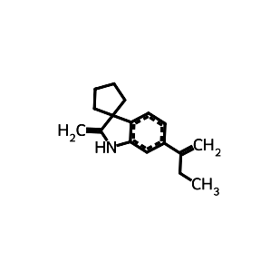 C=C(CC)c1ccc2c(c1)NC(=C)C21CCCC1